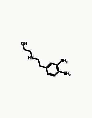 Nc1ccc(CCNCCO)cc1N